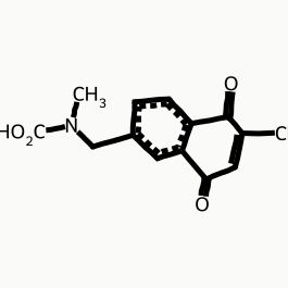 CN(Cc1ccc2c(c1)C(=O)C=C(Cl)C2=O)C(=O)O